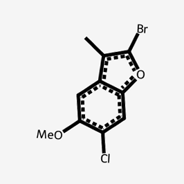 COc1cc2c(C)c(Br)oc2cc1Cl